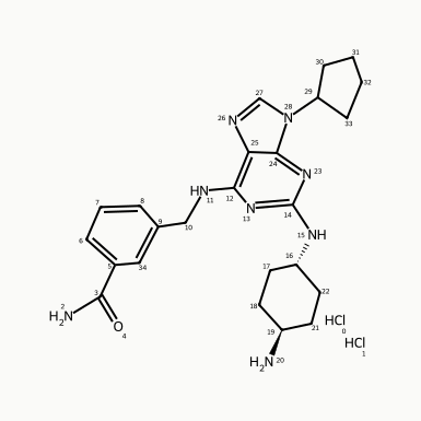 Cl.Cl.NC(=O)c1cccc(CNc2nc(N[C@H]3CC[C@H](N)CC3)nc3c2ncn3C2CCCC2)c1